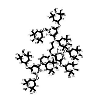 CN1C(C)(C)CC(OC2=NN(OC3CC(C)(C)N(C)C(C)(C)C3)NC(N(CCCN(C3=CC(OC4CC(C)(C)N(C)C(C)(C)C4)=NN(OC4CC(C)(C)N(C)C(C)(C)C4)N3)C3CC(C)(C)N(C)C(C)(C)C3)CCCN(C3=CC(OC4CC(C)(C)N(C)C(C)(C)C4)=NN(OC4CC(C)(C)N(C)C(C)(C)C4)N3)C3CC(C)(C)N(C)C(C)(C)C3)=C2)CC1(C)C